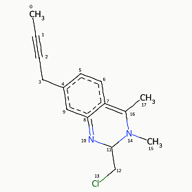 CC#CCc1ccc2c(c1)=NC(CCl)N(C)C=2C